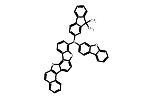 CC1(C)c2ccccc2-c2ccc(N(c3ccc4c(c3)oc3ccccc34)c3cccc4c3sc3ccc5c(oc6ccc7ccccc7c65)c34)cc21